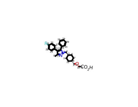 Cc1nn(C[C@H]2CC[C@H](COCC(=O)O)CC2)c(-c2ccccc2)c1-c1ccc(F)cc1